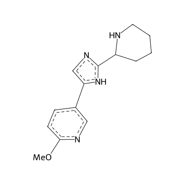 COc1ccc(-c2cnc(C3CCCCN3)[nH]2)cn1